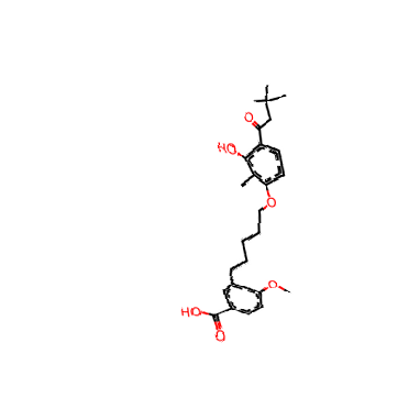 COc1ccc(C(=O)O)cc1CCCCCOc1ccc(C(=O)CC(C)(C)C)c(O)c1C